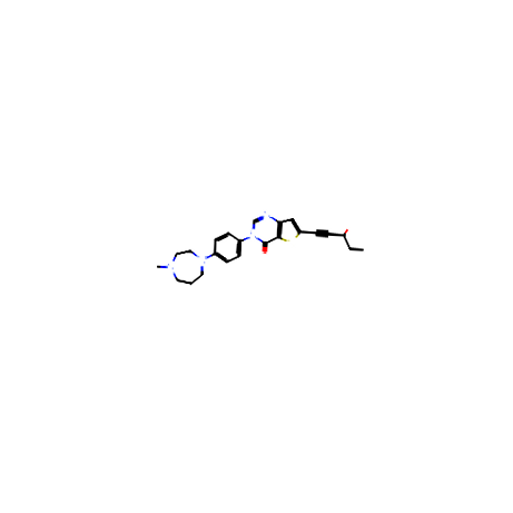 CCC(O)C#Cc1cc2ncn(-c3ccc(N4CCCN(C)CC4)cc3)c(=O)c2s1